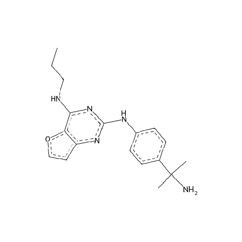 CCCNc1nc(Nc2ccc(C(C)(C)N)cc2)nc2ccoc12